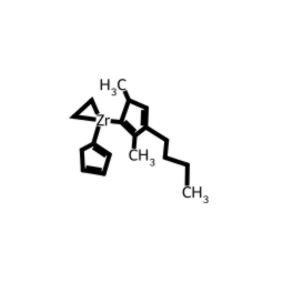 CCCCC1=CC(C)[C]([Zr]2([C]3=CC=CC3)[CH2][CH2]2)=C1C